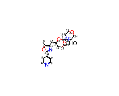 Cc1oc(-c2ccncc2)nc1CC1CCOC(C)([N+]2(C=O)CCOCC2)O1